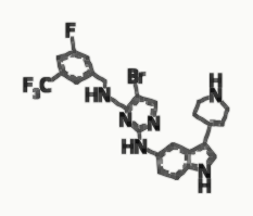 Fc1cc(CNc2nc(Nc3ccc4[nH]cc(C5=CCNCC5)c4c3)ncc2Br)cc(C(F)(F)F)c1